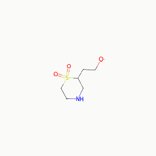 [O]CCC1CNCCS1(=O)=O